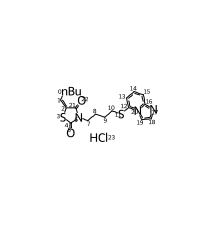 CCCCC=C1SC(=O)N(CCCCSc2cccc3nccn23)C1=O.Cl